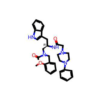 COc1ccccc1CN(C[C@@H](Cc1c[nH]c2ccccc12)NC(=O)CN1CCN(c2ccccc2)CC1)C(C)=O